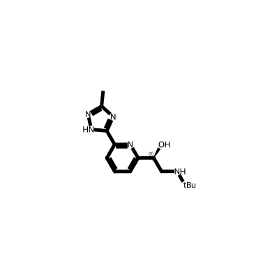 Cc1n[nH]c(-c2cccc([C@@H](O)CNC(C)(C)C)n2)n1